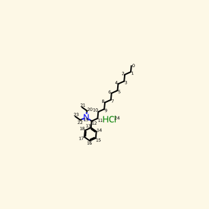 CCCCCCCCCCCCC(c1ccccc1)N(CC)CC.Cl